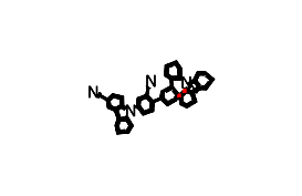 N#Cc1ccc2c(c1)c1ccccc1n2-c1ccc(-c2ccc(C#N)c(-c3ccccc3-n3c4ccccc4c4ccccc43)c2)c(C#N)c1